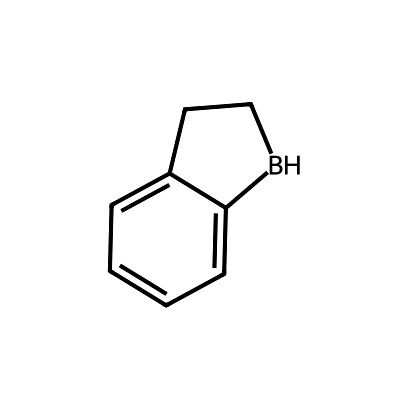 B1CCc2ccccc21